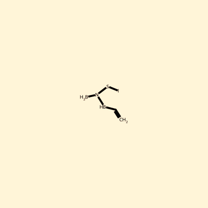 BN(BC=C)SI